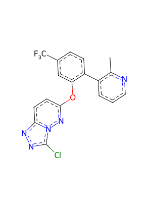 Cc1ncccc1-c1ccc(C(F)(F)F)cc1Oc1ccc2nnc(Cl)n2n1